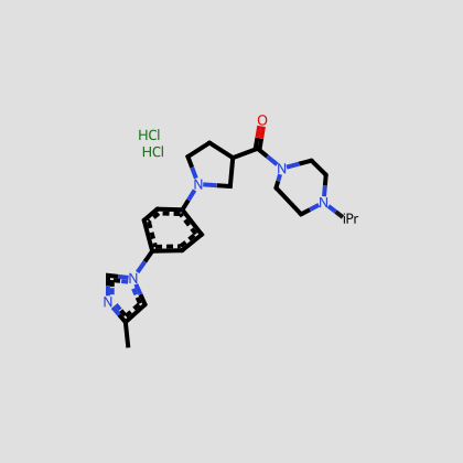 Cc1cn(-c2ccc(N3CCC(C(=O)N4CCN(C(C)C)CC4)C3)cc2)cn1.Cl.Cl